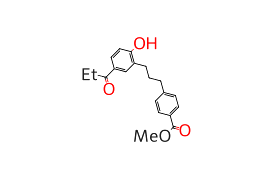 CCC(=O)c1ccc(O)c(CCCc2ccc(C(=O)OC)cc2)c1